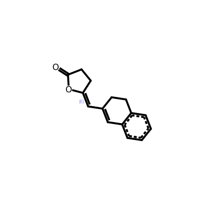 O=C1CC/C(=C\C2=Cc3ccccc3CC2)O1